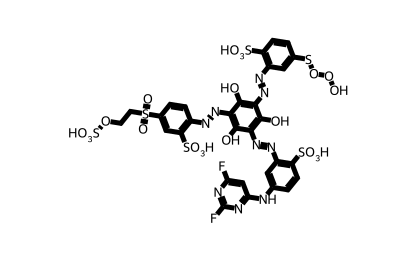 O=S(=O)(O)OCCS(=O)(=O)c1ccc(/N=N/c2c(O)c(/N=N/c3cc(Nc4cc(F)nc(F)n4)ccc3S(=O)(=O)O)c(O)c(/N=N/c3cc(SOOO)ccc3S(=O)(=O)O)c2O)c(S(=O)(=O)O)c1